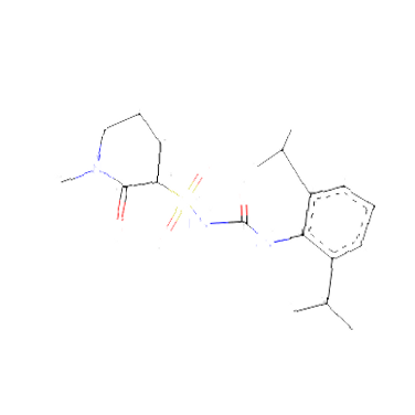 CC(C)c1cccc(C(C)C)c1NC(=O)NS(=O)(=O)C1CCCN(C)C1=O